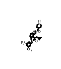 O=C(NCc1cccc2cn(Cc3cc(C(F)(F)F)cc(C(F)(F)F)c3)c(=O)c(CC3CC3)c12)C1CCNCC1